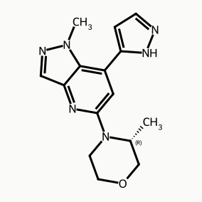 C[C@@H]1COCCN1c1cc(-c2ccn[nH]2)c2c(cnn2C)n1